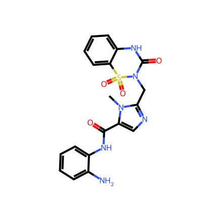 Cn1c(C(=O)Nc2ccccc2N)cnc1CN1C(=O)Nc2ccccc2S1(=O)=O